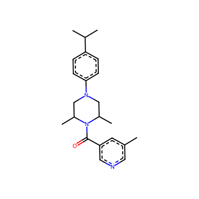 Cc1cncc(C(=O)N2C(C)CN(c3ccc(C(C)C)cc3)CC2C)c1